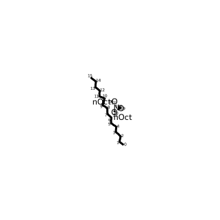 CCCCCCCCCCCCCCCC.CCCCCCCCO[N+](=O)OCCCCCCCC